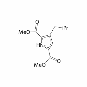 COC(=O)c1cc(CC(C)C)c(C(=O)OC)[nH]1